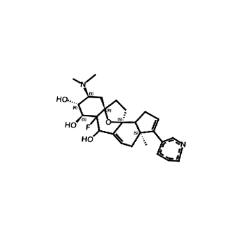 CN(C)[C@H]1C[C@@]23CC[C@@]4(O2)C(=CC[C@]2(C)C(c5cccnc5)=CCC24)C(O)C3(F)[C@@H](O)[C@@H]1O